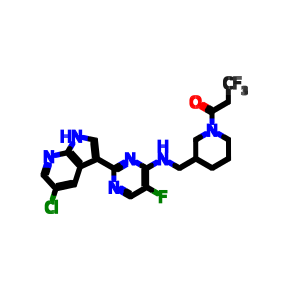 O=C(CC(F)(F)F)N1CCCC(CNc2nc(-c3c[nH]c4ncc(Cl)cc34)ncc2F)C1